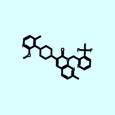 COc1nccc(C)c1C1CCC(c2cc3ccc(C)nc3n(Cc3ncccc3C(C)(F)F)c2=O)CC1